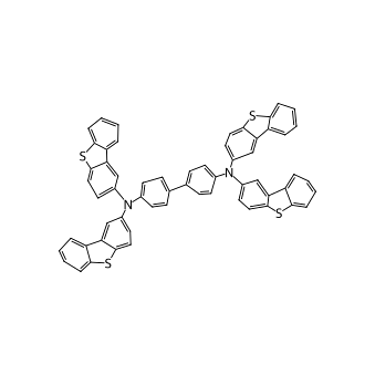 c1ccc2c(c1)sc1ccc(N(c3ccc(-c4ccc(N(c5ccc6sc7ccccc7c6c5)c5ccc6sc7ccccc7c6c5)cc4)cc3)c3ccc4sc5ccccc5c4c3)cc12